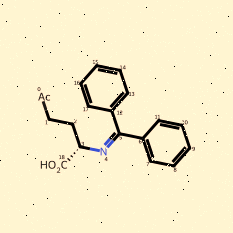 CC(=O)CC[C@H](N=C(c1ccccc1)c1ccccc1)C(=O)O